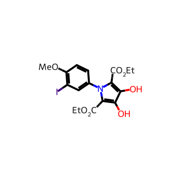 CCOC(=O)c1c(O)c(O)c(C(=O)OCC)n1-c1ccc(OC)c(I)c1